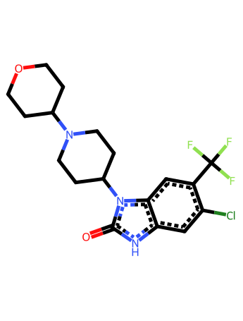 O=c1[nH]c2cc(Cl)c(C(F)(F)F)cc2n1C1CCN(C2CCOCC2)CC1